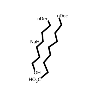 CCCCCCCCCCCCCCCCCC(=O)O.CCCCCCCCCCCCCCCCO.[NaH]